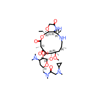 CC[C@H]1OC(=O)[C@@H](C)C(=O)[C@H](C)[C@@H](O[C@@H]2O[C@H](CN(C)C(=O)CN(C)C3CC3)CC(N(C)C)[C@H]2O)[C@](C)(OC)C[C@@H](C)CN[C@H](C)[C@H]2NC(=O)CO[C@@]21C